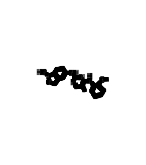 COc1ccccc1Nc1nc(Nc2ccc3c(c2)COB3O)ncc1C